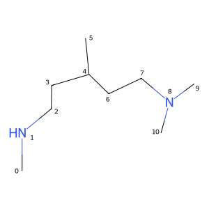 CNCCC(C)CCN(C)C